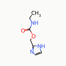 CCNC(=O)OCc1ncc[nH]1